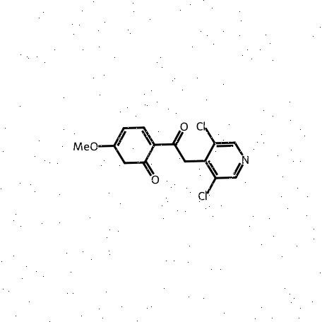 COC1=CC=C(C(=O)Cc2c(Cl)cncc2Cl)C(=O)C1